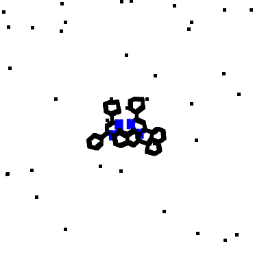 c1ccc(-c2cc(-c3ccccc3)nc(-c3ccc(-c4cccc5cccc(-c6cc(-c7ccccc7)nc(-c7ccccc7)n6)c45)cc3)n2)cc1